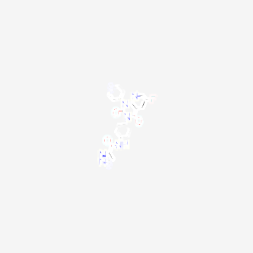 O=C(NC1CCC(n2c(=O)c3cc(F)cnc3n(C3CCSCC3)c2=O)CC1)c1csnn1